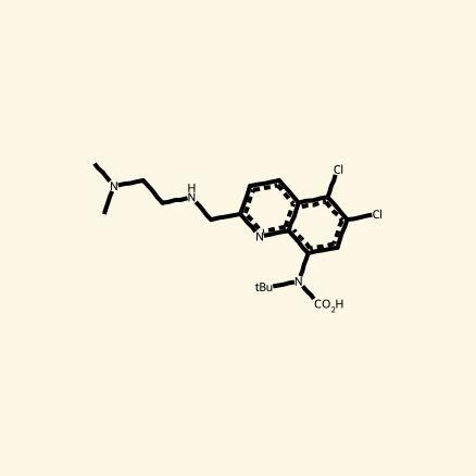 CN(C)CCNCc1ccc2c(Cl)c(Cl)cc(N(C(=O)O)C(C)(C)C)c2n1